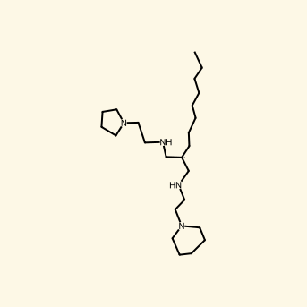 CCCCCCCC[C](CNCCN1CCCCC1)CNCCN1CCCC1